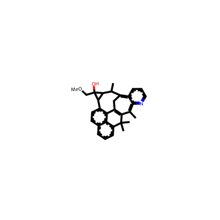 COCC1(O)C2c3ccc4cccc5c4c3C3=C(C(C)=c4ncccc4=C(C3)C(C)C21)C5(C)C